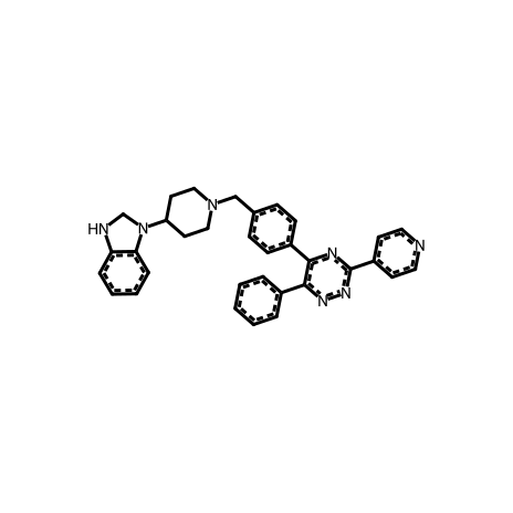 c1ccc(-c2nnc(-c3ccncc3)nc2-c2ccc(CN3CCC(N4CNc5ccccc54)CC3)cc2)cc1